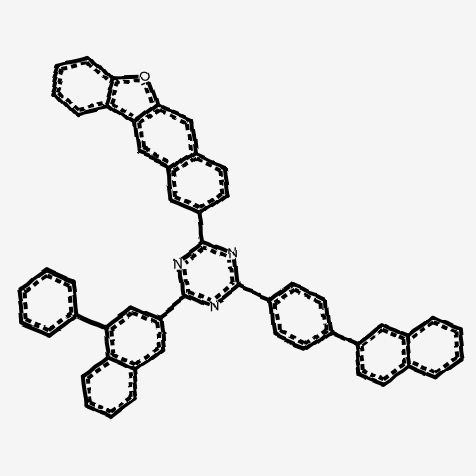 c1ccc(-c2cc(-c3nc(-c4ccc(-c5ccc6ccccc6c5)cc4)nc(-c4ccc5cc6oc7ccccc7c6cc5c4)n3)cc3ccccc23)cc1